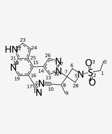 CCS(=O)(=O)N1CC(C(C)C#N)(n2cc(-c3c(C#N)cnc4[nH]ccc34)cn2)C1